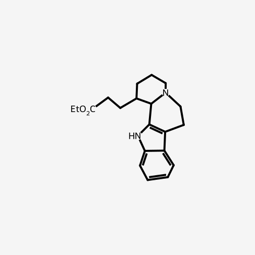 CCOC(=O)CCC1CCCN2CCc3c([nH]c4ccccc34)C12